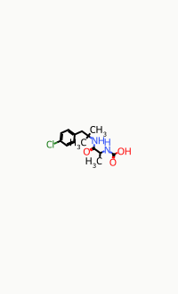 CC(NC(=O)O)C(=O)NC(C)(C)Cc1ccc(Cl)cc1